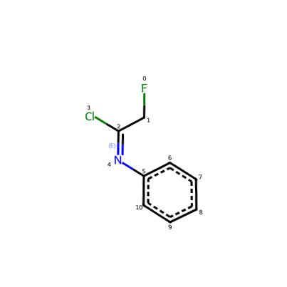 FC/C(Cl)=N\c1ccccc1